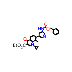 CCOC(=O)c1cn(C2CC2)c2c(C)c(-c3cncc(NC(=O)OCc4ccccc4)c3)ccc2c1=O